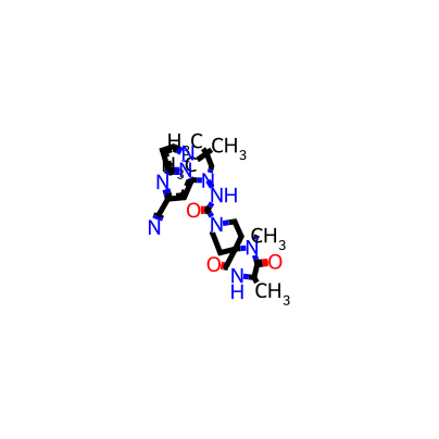 CC1NC(=O)C2(CCN(C(=O)NN(CC(C)(C)C)c3cc(C#N)nc4ccnn34)CC2)N(C)C1=O